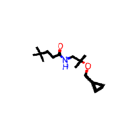 CC(C)(C)CCC(=O)NCC(C)(C)OCC1CC1